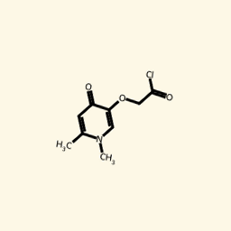 Cc1cc(=O)c(OCC(=O)Cl)cn1C